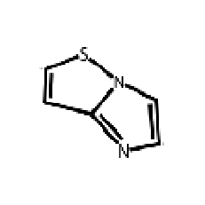 [c]1cn2s[c]cc2n1